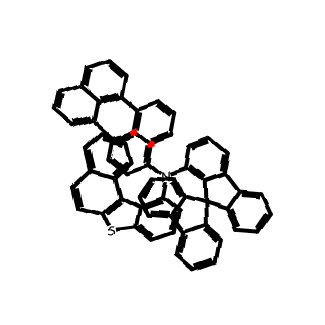 c1ccc(-c2cccc3cccc(-c4ccc(N(c5cccc6c5C5(c7ccccc7-c7ccccc75)c5ccccc5-6)c5cccc6sc7ccc8ccccc8c7c56)cc4)c23)cc1